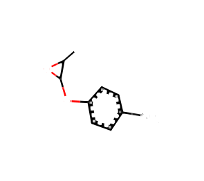 CC1OC1Oc1ccc([N+](=O)[O-])cc1